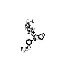 Cn1cnc(S(=O)(=O)N2C[C@H]([C@@H]3CCCOC3)[C@@H](Nc3cccc(OC(F)(F)F)c3)C2)c1